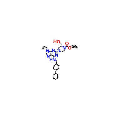 CC(C)n1cnc2c(NCc3ccc(-c4ccccc4)cc3)nc(N3CCN(C(=O)OC(C)(C)C)[C@@H](CO)C3)nc21